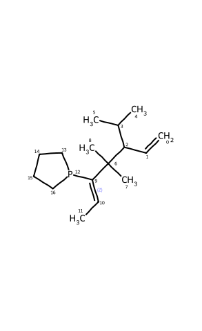 C=CC(C(C)C)C(C)(C)/C(=C/C)P1CCCC1